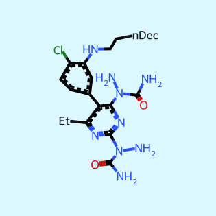 CCCCCCCCCCCCNc1cc(-c2c(CC)nc(N(N)C(N)=O)nc2N(N)C(N)=O)ccc1Cl